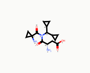 N[C@@H](CC(=O)O)C(=O)N(C(=O)C1(N)CC1)C(C1CC1)C1CC1